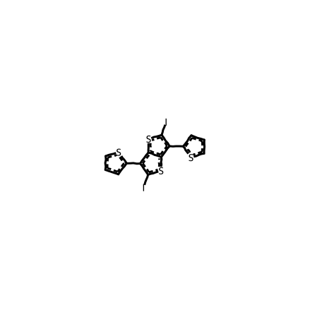 Ic1sc2c(-c3cccs3)c(I)sc2c1-c1cccs1